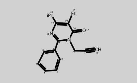 C#CCn1c(-c2ccccc2)nc(C(C)C)c(CC)c1=O